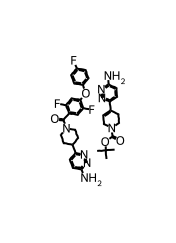 CC(C)(C)OC(=O)N1CC=C(c2ccc(N)nn2)CC1.Nc1ccc(C2CCN(C(=O)c3cc(F)c(Oc4ccc(F)cc4)cc3F)CC2)nn1